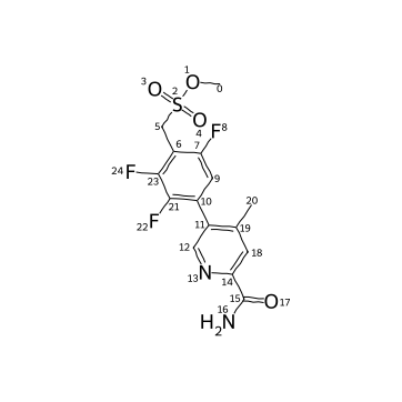 COS(=O)(=O)Cc1c(F)cc(-c2cnc(C(N)=O)cc2C)c(F)c1F